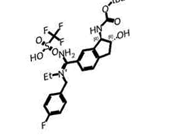 CC[N+](Cc1ccc(F)cc1)=C(N)c1ccc2c(c1)[C@@H](NC(=O)OC(C)(C)C)[C@H](O)C2.O=S(=O)(O)C(F)(F)F